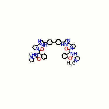 CN1CCC[C@H]1C(=O)NC(C(=O)N1CCCC1c1ncc(-c2ccc(-c3ccc(-c4cnc(C5CCCN5C(=O)C(NC(=O)[C@@H]5CCCN5C)c5ccccc5)[nH]4)cc3)cc2)[nH]1)c1ccccc1